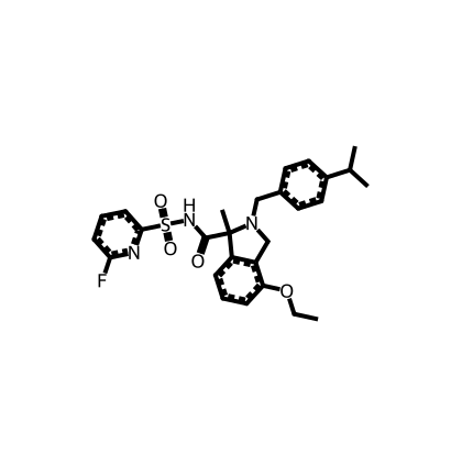 CCOc1cccc2c1CN(Cc1ccc(C(C)C)cc1)C2(C)C(=O)NS(=O)(=O)c1cccc(F)n1